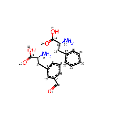 N[C@H](Cc1cccc(C=O)c1)C(=O)O.N[C@H](Cc1ccccc1)C(=O)O